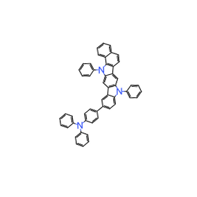 c1ccc(N(c2ccccc2)c2ccc(-c3ccc4c(c3)c3cc5c(cc3n4-c3ccccc3)c3ccc4ccccc4c3n5-c3ccccc3)cc2)cc1